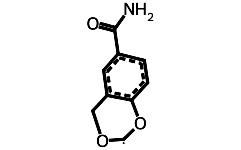 NC(=O)c1ccc2c(c1)CO[CH]O2